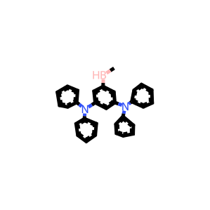 CBc1cc(N(c2ccccc2)c2ccccc2)cc(N(c2ccccc2)c2ccccc2)c1